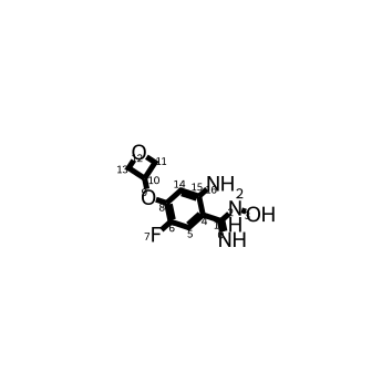 N=C(NO)c1cc(F)c(OC2COC2)cc1N